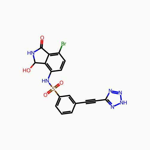 O=C1NC(O)c2c(NS(=O)(=O)c3cccc(C#Cc4nn[nH]n4)c3)ccc(Br)c21